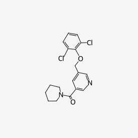 O=C(c1cncc(COc2c(Cl)cccc2Cl)c1)N1CCCCC1